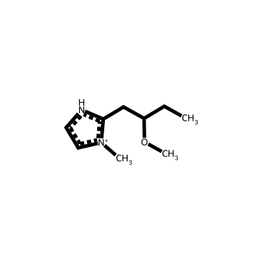 CCC(Cc1[nH]cc[n+]1C)OC